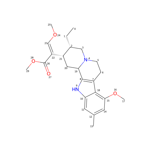 CC[C@@H]1CN2CCc3c([nH]c4cc(C)cc(OC)c34)C2C[C@@H]1/C(=C\OC)C(=O)OC